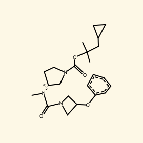 CN(C(=O)N1CC(Oc2ccccc2)C1)[C@@H]1CCN(C(=O)OC(C)(C)CC2CC2)C1